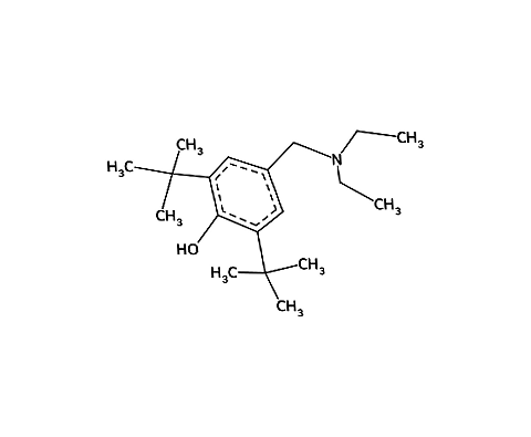 CCN(CC)Cc1cc(C(C)(C)C)c(O)c(C(C)(C)C)c1